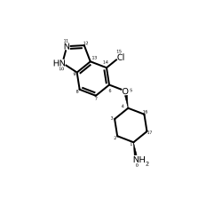 N[C@H]1CC[C@@H](Oc2ccc3[nH]ncc3c2Cl)CC1